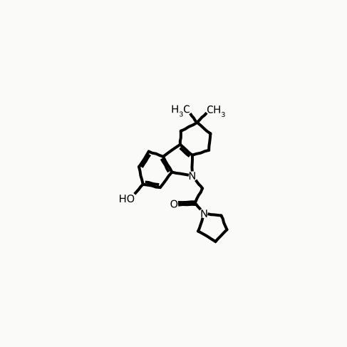 CC1(C)CCc2c(c3ccc(O)cc3n2CC(=O)N2CCCC2)C1